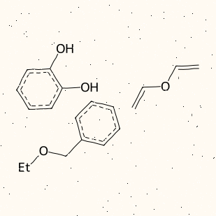 C=COC=C.CCOCc1ccccc1.Oc1ccccc1O